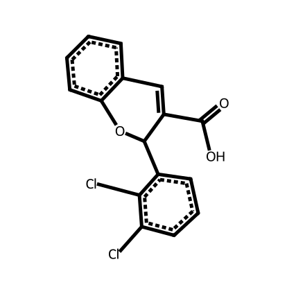 O=C(O)C1=Cc2ccccc2OC1c1cccc(Cl)c1Cl